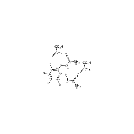 C=C(C)C(=O)O.C=C(C)C(=O)O.Cc1c(C)c(C)c(COC(N)=O)c(COC(N)=O)c1C